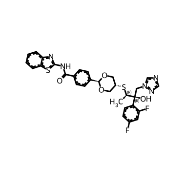 C[C@@H](S[C@H]1CO[C@H](c2ccc(C(=O)Nc3nc4ccccc4s3)cc2)OC1)[C@](O)(Cn1cncn1)c1ccc(F)cc1F